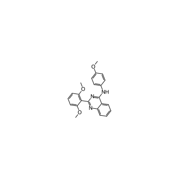 COc1ccc(Nc2nc(-c3c(OC)cccc3OC)nc3ccccc23)cc1